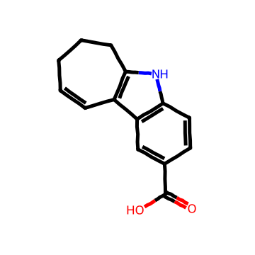 O=C(O)c1ccc2[nH]c3c(c2c1)C=CCCC3